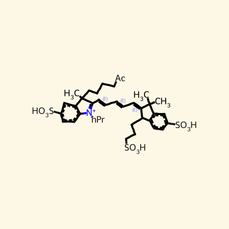 CCC[N+]1=C(/C=C/C=C/C=C2\C(CCCS(=O)(=O)O)c3ccc(S(=O)(=O)O)cc3C2(C)C)C(C)(CCCCC(C)=O)c2cc(S(=O)(=O)O)ccc21